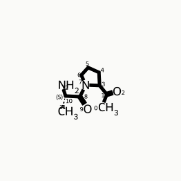 CC(=O)C1CCCN1C(=O)[C@H](C)N